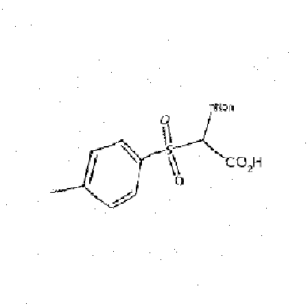 CCCCCCCCCC(C(=O)O)S(=O)(=O)c1ccc(C)cc1